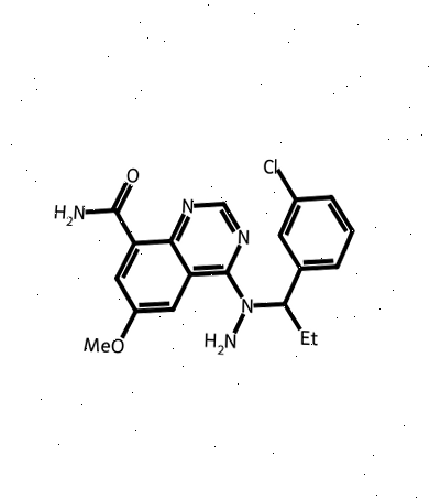 CCC(c1cccc(Cl)c1)N(N)c1ncnc2c(C(N)=O)cc(OC)cc12